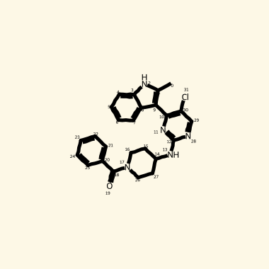 Cc1[nH]c2ccccc2c1-c1nc(NC2CCN(C(=O)c3ccccc3)CC2)ncc1Cl